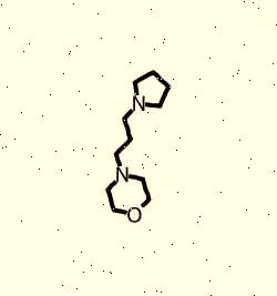 C1CCN(CCCN2CCOCC2)C1